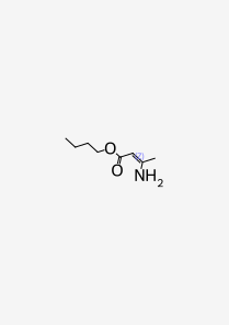 CCCCOC(=O)/C=C(/C)N